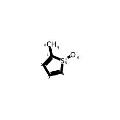 Cc1ccc[s+]1[O-]